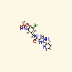 Cc1cccnc1-c1nc(C(=O)NCc2cc(Br)cc(NS(C)(=O)=O)c2)c[nH]1